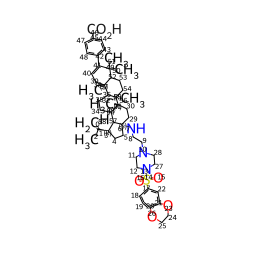 C=C(C)[C@@H]1CC[C@]2(NCCN3CCN(S(=O)(=O)c4ccc5c(c4)OCCO5)CC3)CC[C@]3(C)[C@H](CCC4[C@@]5(C)CC=C(c6ccc(C(=O)O)cc6)C(C)(C)C5CC[C@]43C)C12